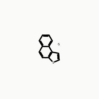 [S].c1ccc2c(c1)ccc1sccc12